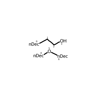 CCCCCCCCCCCCO.CCCCCCCCCCOCCCCCCCCCC